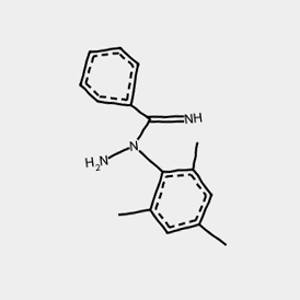 Cc1cc(C)c(N(N)C(=N)c2ccccc2)c(C)c1